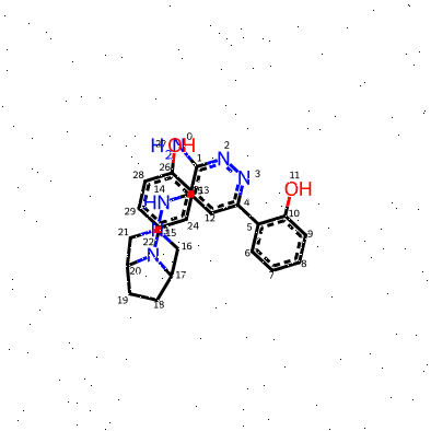 Nc1nnc(-c2ccccc2O)cc1NN1CC2CCC(C1)N2c1ccc(O)cc1